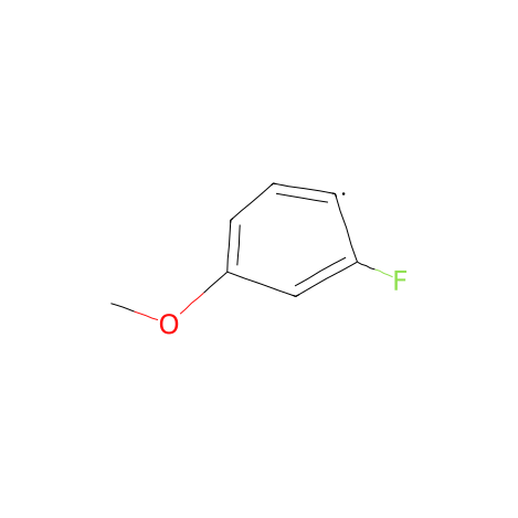 COc1cc[c]c(F)c1